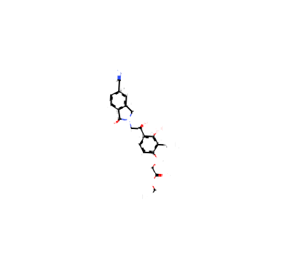 CCOC(=O)COc1ccc(C(=O)CN2Cc3cc(C#N)ccc3C2=O)c(O)c1C